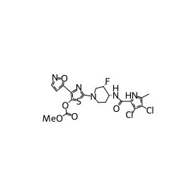 COC(=O)Oc1sc(N2CC[C@@H](NC(=O)c3[nH]c(C)c(Cl)c3Cl)[C@@H](F)C2)nc1-c1ccno1